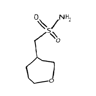 NS(=O)(=O)CC1CCOC1